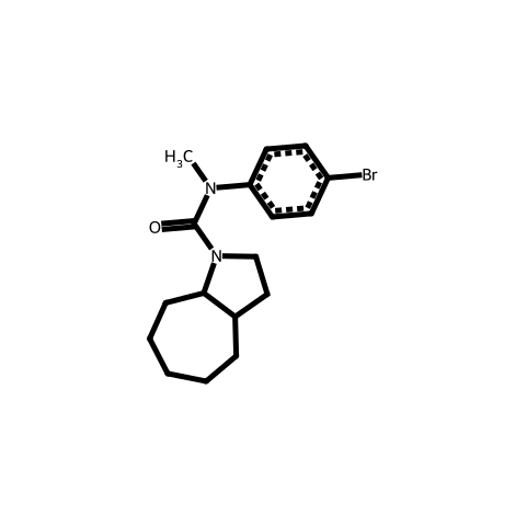 CN(C(=O)N1CCC2CCCCCC21)c1ccc(Br)cc1